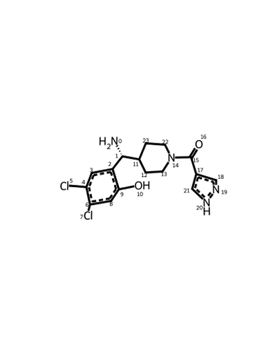 N[C@@H](c1cc(Cl)c(Cl)cc1O)C1CCN(C(=O)c2cn[nH]c2)CC1